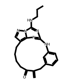 C=C1Cc2cccc(c2)Nc2nc(NCCC)n3ncc(c3n2)CCCCC1=O